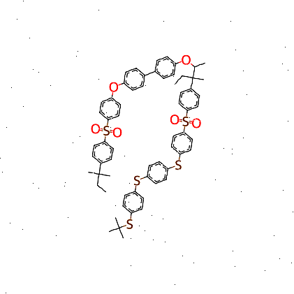 CCC(C)(C)c1ccc(S(=O)(=O)c2ccc(Oc3ccc(-c4ccc(OC(C)C(C)(CC)c5ccc(S(=O)(=O)c6ccc(Sc7ccc(Sc8ccc(SC(C)(C)C)cc8)cc7)cc6)cc5)cc4)cc3)cc2)cc1